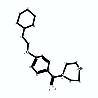 C=C(c1ccc(OCCC2CCCCC2)cc1)N1CCNCC1